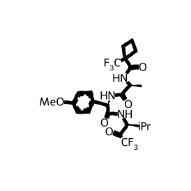 COc1ccc([C@H](NC(=O)[C@H](C)NC(=O)C2(C(F)(F)F)CCC2)C(=O)N[C@H](C(=O)C(F)(F)F)C(C)C)cc1